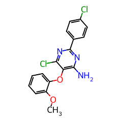 COc1ccccc1Oc1c(N)nc(-c2ccc(Cl)cc2)nc1Cl